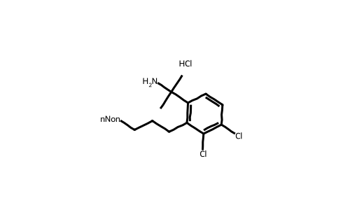 CCCCCCCCCCCCc1c(C(C)(C)N)ccc(Cl)c1Cl.Cl